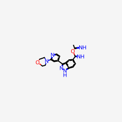 CC(=N)OC(=N)c1ccc2[nH]nc(-c3ccnc(N4CCOCC4)c3)c2c1